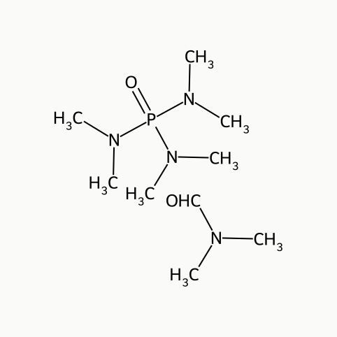 CN(C)C=O.CN(C)P(=O)(N(C)C)N(C)C